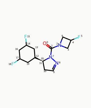 O=C(N1CC(F)C1)N1N=CC[C@H]1C1CC(F)CC(F)C1